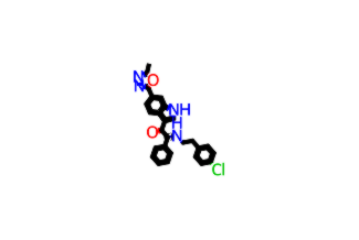 Cc1nnc(-c2ccc3c(C(=O)[C@@H](NCCc4ccc(Cl)cc4)c4ccccc4)c[nH]c3c2)o1